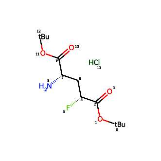 CC(C)(C)OC(=O)[C@H](F)C[C@H](N)C(=O)OC(C)(C)C.Cl